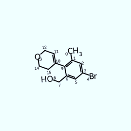 Cc1cc(Br)cc(CO)c1C1=CCOCC1